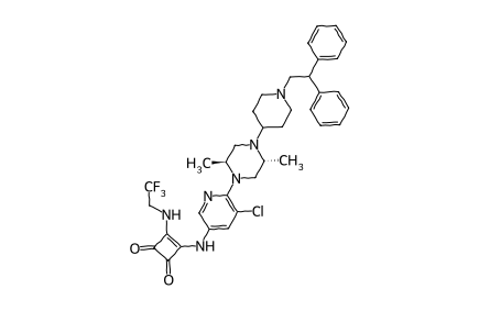 C[C@@H]1CN(c2ncc(Nc3c(NCC(F)(F)F)c(=O)c3=O)cc2Cl)[C@@H](C)CN1C1CCN(CC(c2ccccc2)c2ccccc2)CC1